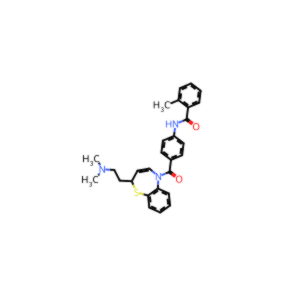 Cc1ccccc1C(=O)Nc1ccc(C(=O)N2C=CC(CCN(C)C)Sc3ccccc32)cc1